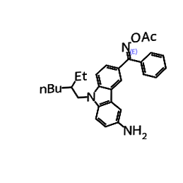 CCCCC(CC)Cn1c2ccc(N)cc2c2cc(/C(=N/OC(C)=O)c3ccccc3)ccc21